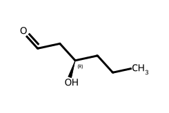 CCC[C@@H](O)CC=O